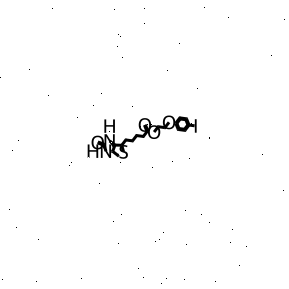 O=C1NC2CSC(CCCCC(=O)OCCOc3ccc(I)cc3)C2N1